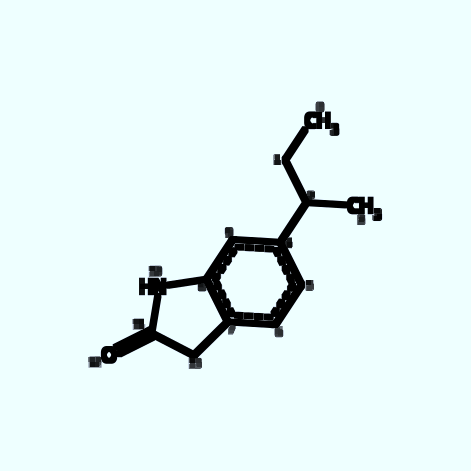 CCC(C)c1ccc2c(c1)NC(=O)C2